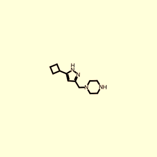 c1c(CN2CCNCC2)n[nH]c1C1CCC1